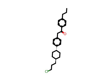 CCCc1ccc(C(=O)Cc2ccc([C@H]3CC[C@H](CCCCl)CC3)cc2)cc1